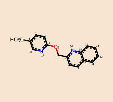 O=C(O)c1ccc(OCc2ccc3ccccc3n2)nc1